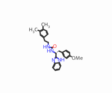 COc1ccc(C[C@@H](NC(=O)NCCc2ccc(C)c(C)c2)c2nc3ccccc3[nH]2)cc1